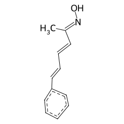 CC(/C=C/C=C/c1ccccc1)=N\O